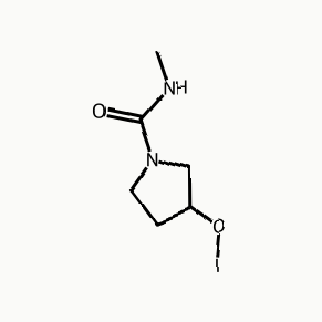 CNC(=O)N1CCC(OI)C1